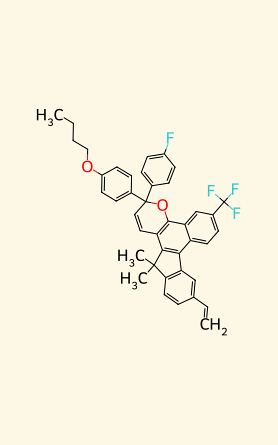 C=Cc1ccc2c(c1)-c1c(c3c(c4cc(C(F)(F)F)ccc14)OC(c1ccc(F)cc1)(c1ccc(OCCCC)cc1)C=C3)C2(C)C